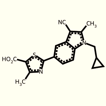 Cc1nc(-c2ccc3c(c2)c(C#N)c(C)n3CC2CC2)sc1C(=O)O